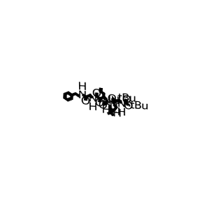 C=CCC(NC(=O)[C@@H]1[C@H]2[C@@H](CN1C(=O)[C@@H](NC(=O)OC(C)(C)C)C(C)(C)C)C2(C)C)C(=O)C(=O)NCC(=O)NCCc1ccccc1